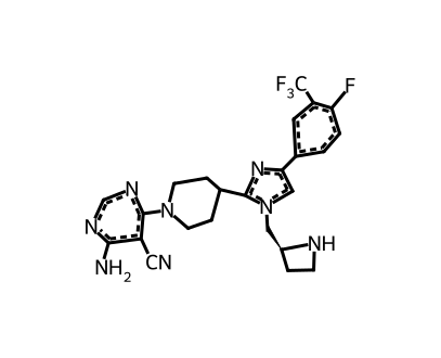 N#Cc1c(N)ncnc1N1CCC(c2nc(-c3ccc(F)c(C(F)(F)F)c3)cn2C[C@@H]2CCN2)CC1